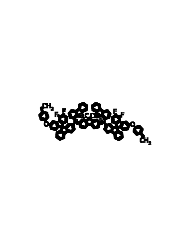 C=Cc1ccc(Oc2ccc(C3(c4ccc(F)c(F)c4)c4ccccc4-c4ccc(N(c5ccc6c(c5)C(C)(C)c5cc(N(c7ccc8c(c7)C(c7ccc(Oc9ccc(C=C)cc9)cc7)(c7ccc(F)c(F)c7)c7ccccc7-8)c7cccc8c7oc7ccccc78)ccc5-6)c5cccc6c5oc5ccccc56)cc43)cc2)cc1